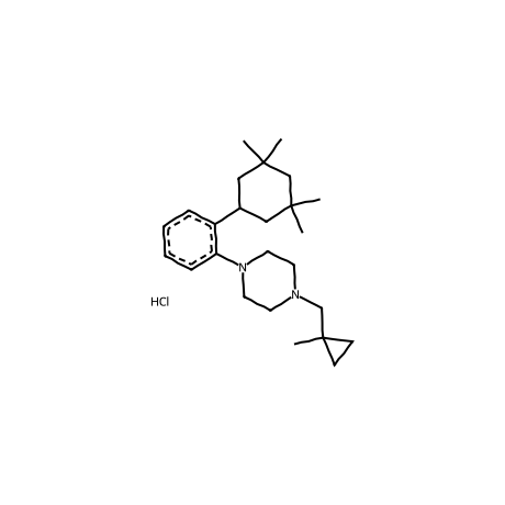 CC1(C)CC(c2ccccc2N2CCN(CC3(C)CC3)CC2)CC(C)(C)C1.Cl